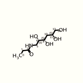 CCC(=O)NC[C@H](O)[C@@H](O)C[C@H](O)CO